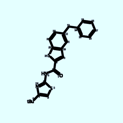 CC(C)(C)c1csc(NC(=O)c2cc3cc(Cc4ccccc4)ccc3s2)n1